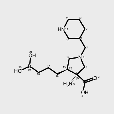 N[C@@]1(C(=O)O)CN(CC2CCCNC2)C[C@@H]1CCCB(O)O